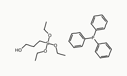 CCO[Si](CCCO)(OCC)OCC.c1ccc(P(c2ccccc2)c2ccccc2)cc1